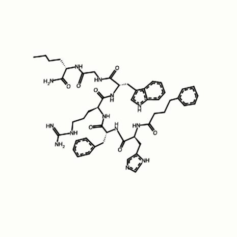 CCCC[C@H](NC(=O)CNC(=O)[C@H](Cc1c[nH]c2ccccc12)NC(=O)[C@H](CCCNC(=N)N)NC(=O)[C@@H](Cc1ccccc1)NC(=O)[C@H](Cc1cnc[nH]1)NC(=O)CCCc1ccccc1)C(N)=O